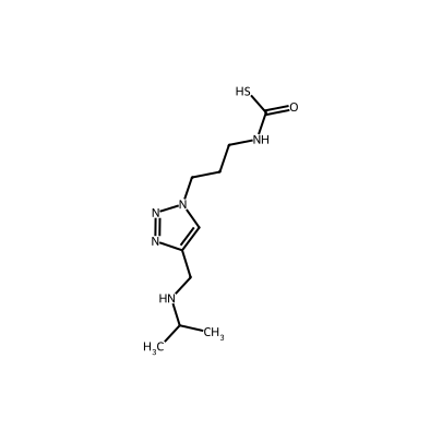 CC(C)NCc1cn(CCCNC(=O)S)nn1